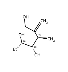 C=C(CO)[C@@H](C)[C@H](O)[C@@H](O)CC